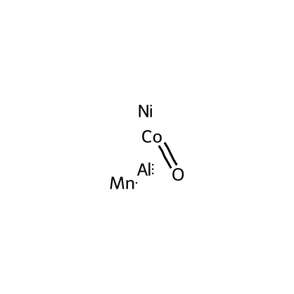 [Al].[Mn].[Ni].[O]=[Co]